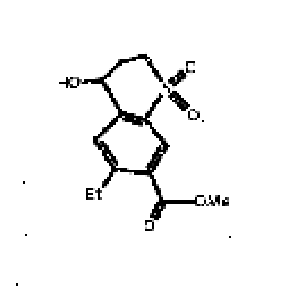 CCc1cc2c(cc1C(=O)OC)S(=O)(=O)CCC2O